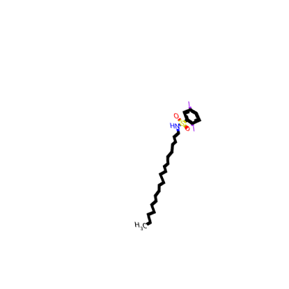 CCCCCCCCCCCCCCCCCCCCNS(=O)(=O)c1cc(I)ccc1I